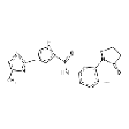 Cc1nc(-c2c[nH]c(C(=O)Nc3ccc(F)c(N4CCCC4=O)c3)c2)cs1